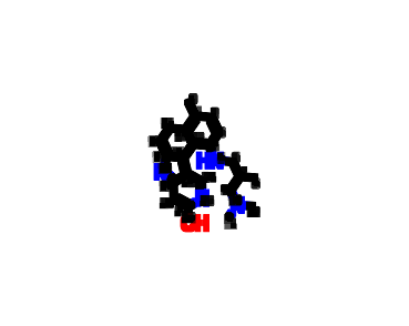 Cc1ccc(NCC(C)CN(C)C)c2c1CC=C1N=c3cc(O)ncc3=C12